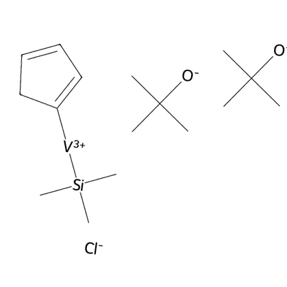 CC(C)(C)[O-].CC(C)(C)[O-].C[Si](C)(C)[V+3][C]1=CC=CC1.[Cl-]